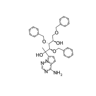 CC(O)(c1ccc2c(N)ncnn12)[C@H](OCc1ccccc1)[C@H](OCc1ccccc1)[C@H](O)COCc1ccccc1